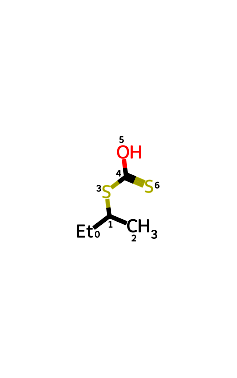 CCC(C)SC(O)=S